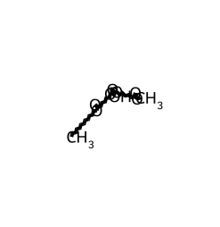 CCCCCCCCCCCCOC(=O)CCCCCOP(=O)(O)OCCCCCC(=O)OC